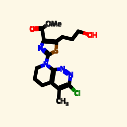 COC(=O)c1nc(N2CCCc3c2nnc(Cl)c3C)sc1CCCO